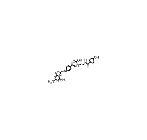 Nc1nc(N)c2nc(CNc3ccc(C(=O)N[C@@H](CCCNC(=O)c4ccc(O)cc4)C(=O)O)cc3)cnc2n1